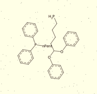 CCCCCP(c1ccccc1)c1ccccc1.PCCCCC(Oc1ccccc1)Oc1ccccc1